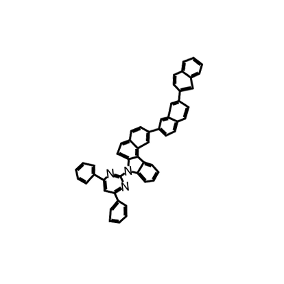 c1ccc(-c2cc(-c3ccccc3)nc(-n3c4ccccc4c4c5cc(-c6ccc7ccc(-c8ccc9ccccc9c8)cc7c6)ccc5ccc43)n2)cc1